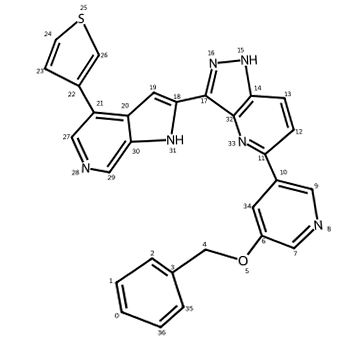 c1ccc(COc2cncc(-c3ccc4[nH]nc(-c5cc6c(-c7ccsc7)cncc6[nH]5)c4n3)c2)cc1